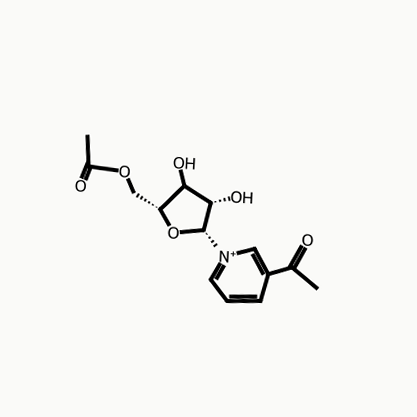 CC(=O)OC[C@H]1O[C@@H]([n+]2cccc(C(C)=O)c2)[C@@H](O)C1O